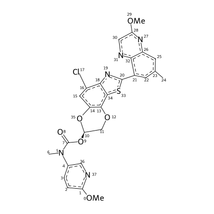 COc1ccc(N(C)C(=O)O[C@@H]2COc3c(cc(Cl)c4nc(-c5cc(C)cc6nc(OC)cnc56)sc34)O2)cn1